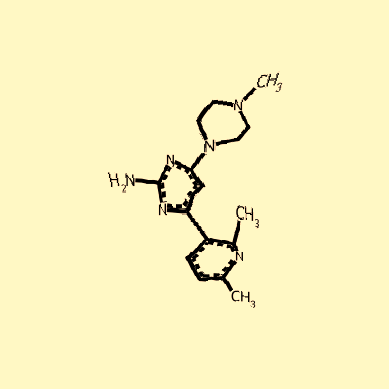 Cc1ccc(-c2cc(N3CCN(C)CC3)nc(N)n2)c(C)n1